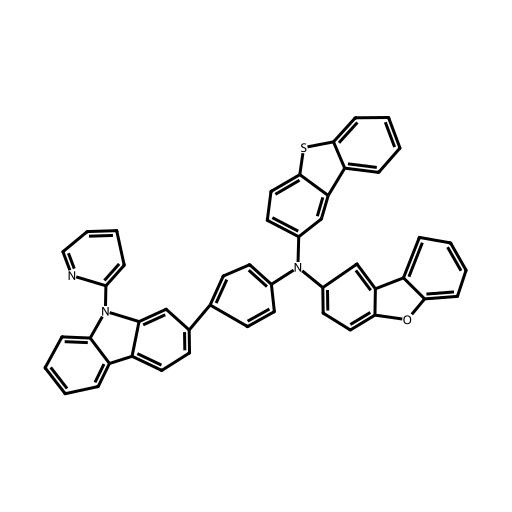 c1ccc(-n2c3ccccc3c3ccc(-c4ccc(N(c5ccc6oc7ccccc7c6c5)c5ccc6sc7ccccc7c6c5)cc4)cc32)nc1